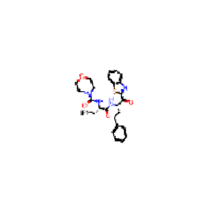 CC(C)C[C@H](NC(=O)N1CCOCC1)C(=O)N[C@@H](CCc1ccccc1)C(=O)c1nc2ccccc2s1